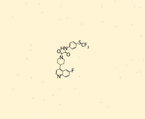 O=C(Nc1ccc(SC(F)(F)F)cc1)C(=O)N1CCC(c2ccnc3ccc(F)cc23)CC1